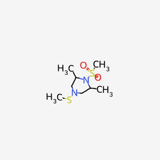 CSN1CC(C)N(S(C)(=O)=O)C(C)C1